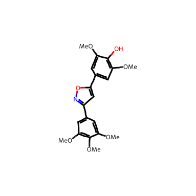 COc1cc(-c2cc(-c3cc(OC)c(OC)c(OC)c3)no2)cc(OC)c1O